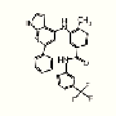 Cc1ccc(C(=O)Nc2cccc(C(F)(F)F)c2)cc1Nc1cc(-c2ccccc2)nc2[nH]ccc12